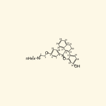 CCCCCCN=CCOc1ccc(C(=O)C2=C(c3ccc(O)cc3)CCc3ccccc32)cc1